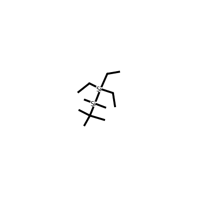 CC[Si](CC)(CC)[Si](C)(C)C(C)(C)C